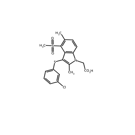 Cc1ccc2c(c(Sc3cccc(Cl)c3)c(C)n2CC(=O)O)c1S(C)(=O)=O